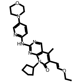 CCOC=Cc1c(C)c2cnc(Nc3ccc(N4CCOCC4)cn3)nc2n(C2CCCC2)c1=O